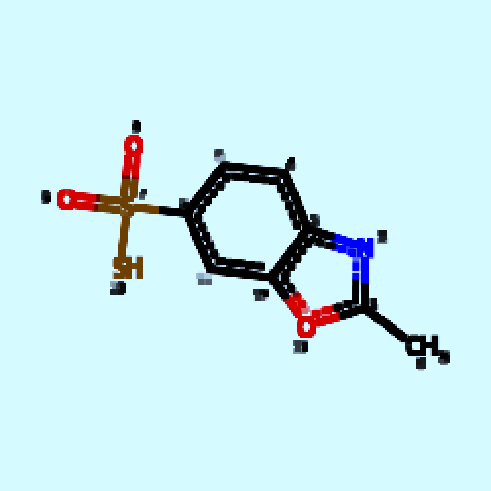 Cc1nc2ccc(S(=O)(=O)S)cc2o1